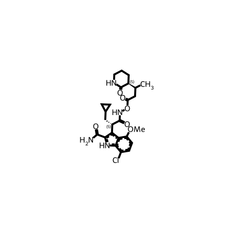 COc1ccc(Cl)c2[nH]c(C(N)=O)c([C@H](CC3CC3)C(=O)NOC(=O)CC(C)[C@@H]3CCCNC3=O)c12